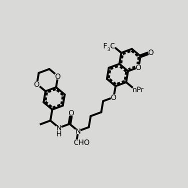 CCCc1c(OCCCCN(C=O)C(=O)NC(C)c2ccc3c(c2)OCCO3)ccc2c(C(F)(F)F)cc(=O)oc12